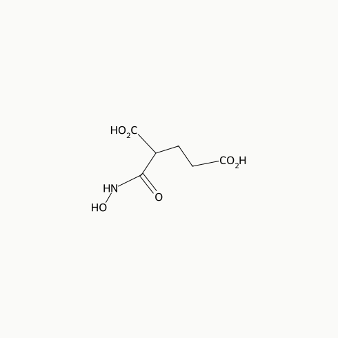 O=C(O)CCC(C(=O)O)C(=O)NO